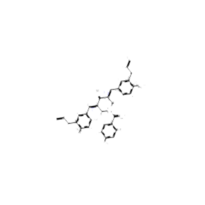 C=CCc1cc(/C=C2\CN(C(=O)c3ccc(F)cc3)C/C(=C\c3ccc(O)c(CC=C)c3)C2=O)ccc1O